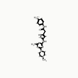 Cc1ccc(NC(=O)Cc2cc(Nc3nc(C)nc(N4CCN(C)CC4)n3)n[nH]2)cc1